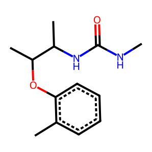 CNC(=O)NC(C)C(C)Oc1ccccc1C